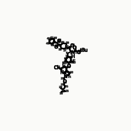 CC(C)(C)OC(=O)N[C@@H](Cc1cc(F)c(Oc2cc(Cl)nc3c2ccn3COCCS(C)(C)C)c(F)c1)C(=O)N1CCC(S(=O)(=O)c2ccccc2)CC1